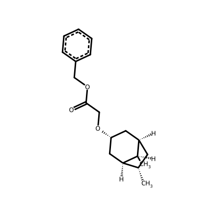 C[C@@H]1[C@H]2C[C@@H](OCC(=O)OCc3ccccc3)C[C@@H]1[C@@H](C)C2